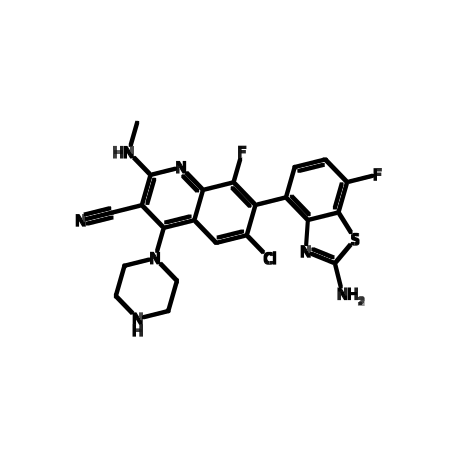 CNc1nc2c(F)c(-c3ccc(F)c4sc(N)nc34)c(Cl)cc2c(N2CCNCC2)c1C#N